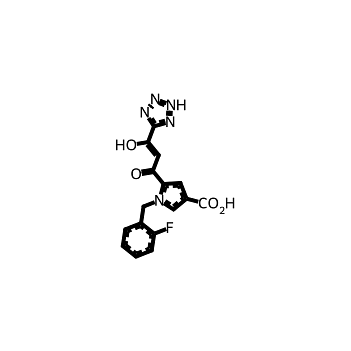 O=C(O)c1cc(C(=O)C=C(O)c2nn[nH]n2)n(Cc2ccccc2F)c1